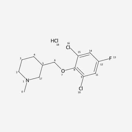 CN1CCCC(COc2c(Cl)cc(F)cc2Cl)C1.Cl